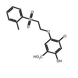 Cc1ccccc1S(=O)(=O)CCOc1cc(C(=O)O)c(O)cc1Cl